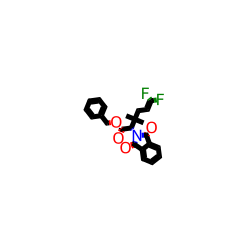 CC(C)(CC=C(F)F)C(C(=O)OCc1ccccc1)N1C(=O)c2ccccc2C1=O